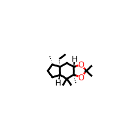 CC[C@]12C[C@@H]3OC(C)(C)O[C@@]3(C)C(C)(C)[C@@H]1CC[C@@H]2C